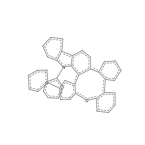 c1ccc(-c2ccc3oc4ccccc4c4ccccc4c4ccc5c6ccccc6n(-c6ccccc6)c5c4c3c2)cc1